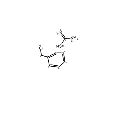 ClCc1ccccc1.N=C(N)S